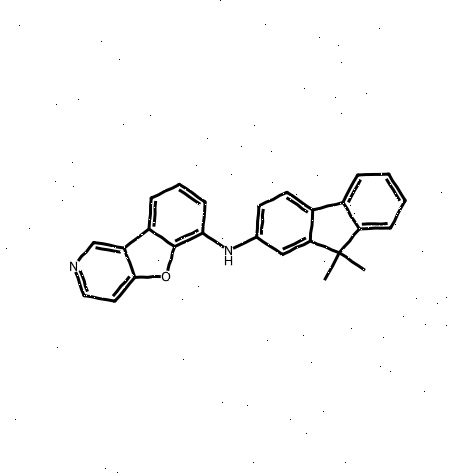 CC1(C)c2ccccc2-c2ccc(Nc3cccc4c3oc3ccncc34)cc21